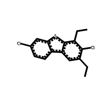 CCc1cc2c(sc3cc(Cl)ccc32)c(CC)c1Cl